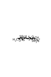 C=CC(=O)C(C1CSC(CCC2SCC(C(C(=O)C(=C)C)S(=O)(=O)O)S2)S1)S(=O)(=O)O